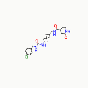 O=C1CC(C(=O)NCC2CC3(C2)CC(NC(=O)NCc2ccc(Cl)cc2)C3)CCN1